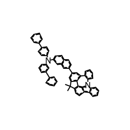 CC1(C)c2cc(-c3ccc4ccc(N(c5ccc(-c6ccccc6)cc5)c5cccc(-c6ccccc6)c5)cc4c3)cc3c2-c2c1ccc1c4ccccc4n(c21)-c1ccccc1-3